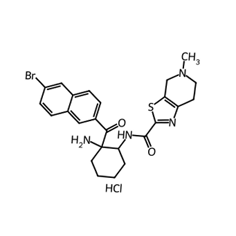 CN1CCc2nc(C(=O)NC3CCCCC3(N)C(=O)c3ccc4cc(Br)ccc4c3)sc2C1.Cl